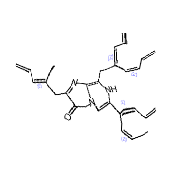 C=C/C=C\C(=C/C=C)Cc1[nH]c(C(/C=C\C)=C/C=C)cn2c(=O)c(C/C(C)=C/C=C)nc1-2